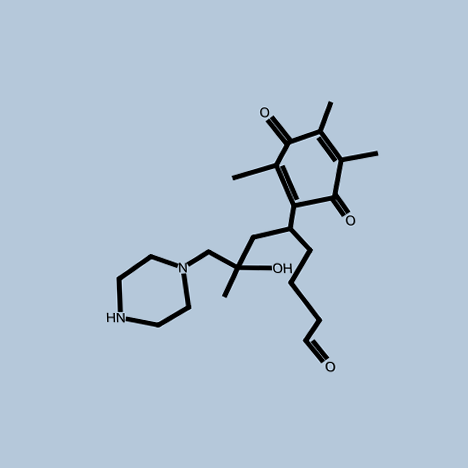 CC1=C(C)C(=O)C(C(CCCC=O)CC(C)(O)CN2CCNCC2)=C(C)C1=O